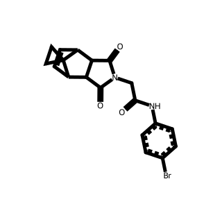 O=C(CN1C(=O)C2C(C1=O)C1C=CC2C12CC2)Nc1ccc(Br)cc1